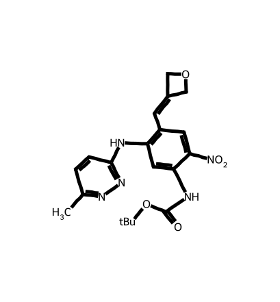 Cc1ccc(Nc2cc(NC(=O)OC(C)(C)C)c([N+](=O)[O-])cc2C=C2COC2)nn1